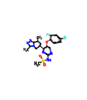 Cc1cc(-c2nc(NS(C)(=O)=O)ncc2Oc2ccc(F)cc2F)cn2c(C)nnc12